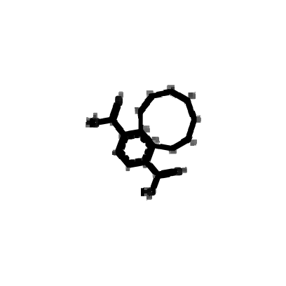 O=C(O)c1ccc(C(=O)O)c2c1CCCCCCC2